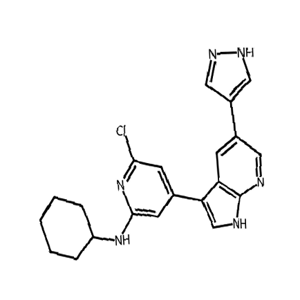 Clc1cc(-c2c[nH]c3ncc(-c4cn[nH]c4)cc23)cc(NC2CCCCC2)n1